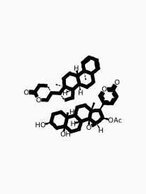 CC(=O)O[C@H]1[C@H]2O[C@]23[C@@H]2CC[C@]4(O)C[C@@H](O)CC[C@]4(C)[C@H]2CC[C@]3(C)[C@H]1c1ccc(=O)oc1.C[C@]12CC[C@H]3[C@@H](CCC4C=CC=C[C@@]43C)[C@H]1CC[C@@H]2[C@H]1CCC(=O)OC1